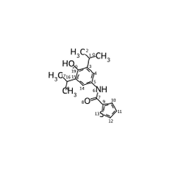 CC(C)c1cc(NC(=O)c2cccs2)cc(C(C)C)c1O